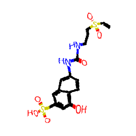 C=CS(=O)(=O)CCNC(=O)Nc1ccc2c(O)cc(S(=O)(=O)O)cc2c1